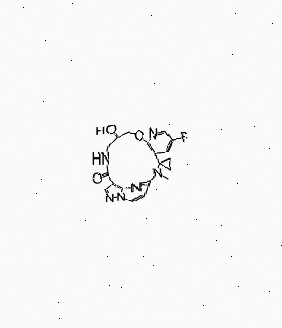 CN1c2ccn3ncc(c3n2)C(=O)NCC(O)COc2ncc(F)cc2C12CC2